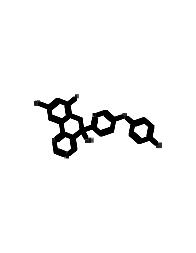 OC1(c2ccc(Oc3ccc(Cl)cc3)cn2)Cc2c(F)cc(Cl)cc2-c2ncncc21